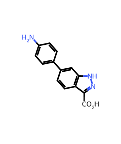 Nc1ccc(-c2ccc3c(C(=O)O)n[nH]c3c2)cc1